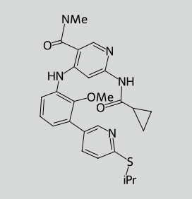 CNC(=O)c1cnc(NC(=O)C2CC2)cc1Nc1cccc(-c2ccc(SC(C)C)nc2)c1OC